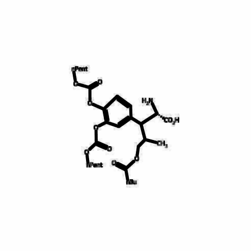 CCCCCOC(=O)Oc1ccc(C(C(C)COC(=O)CCCC)[C@H](N)C(=O)O)cc1OC(=O)OCCCCC